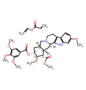 C=COC(=O)C=C.COC(=O)[C@H]1[C@H]2C[C@@H]3c4[nH]c5cc(OC)ccc5c4CCN3C[C@H]2C[C@@H](OC(=O)c2cc(OC)c(OC)c(OC)c2)[C@@H]1OC